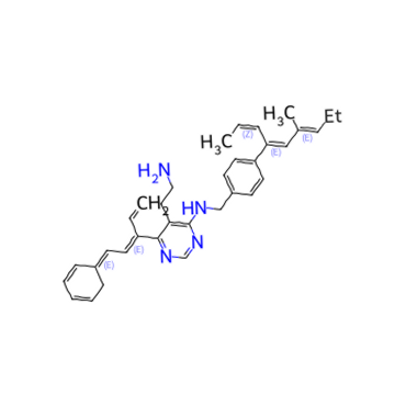 C=C/C(=C\C=C1\C=CC=CC1)c1ncnc(NCc2ccc(C(/C=C\C)=C/C(C)=C/CC)cc2)c1CCN